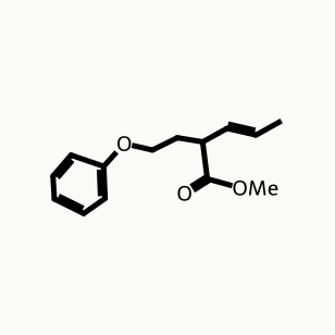 CC=CC(CCOc1ccccc1)C(=O)OC